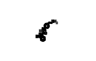 CC(C)(NC(=O)c1n[nH]c2ccccc12)C1CCN(CCN)CC1